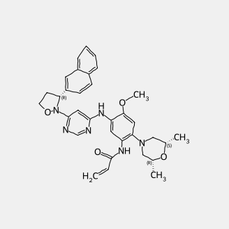 C=CC(=O)Nc1cc(Nc2cc(N3OCC[C@@H]3c3ccc4ccccc4c3)ncn2)c(OC)cc1N1C[C@@H](C)O[C@@H](C)C1